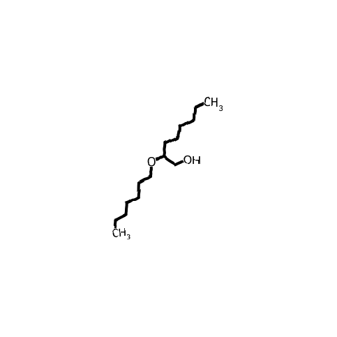 CCCCCCCOC(CO)CCCCCC